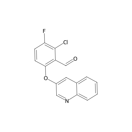 O=Cc1c(Oc2cnc3ccccc3c2)ccc(F)c1Cl